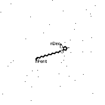 CCCCC/C=C\CCCCCCCCCCCCO[C@H]1C[C@H](C)C[C@H]1OCCCCCCCCCCC